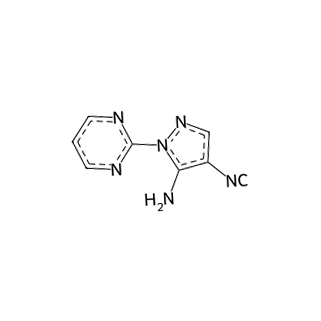 [C-]#[N+]c1cnn(-c2ncccn2)c1N